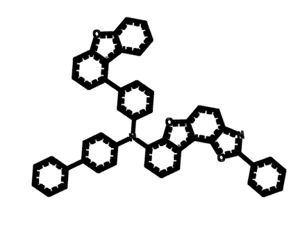 c1ccc(-c2ccc(N(c3cccc(-c4cccc5oc6ccccc6c45)c3)c3cccc4c3oc3ccc5nc(-c6ccccc6)oc5c34)cc2)cc1